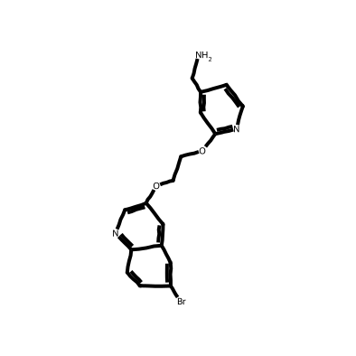 NCc1ccnc(OCCOc2cnc3ccc(Br)cc3c2)c1